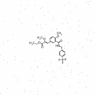 CCOC(=O)C(=Cc1ccc(OC)c(C(=O)NCc2ccc(C(F)(F)F)cc2)c1)OC